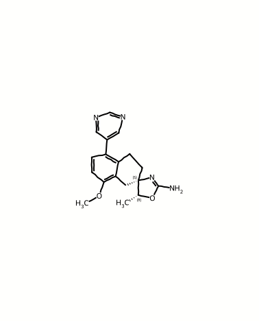 COc1ccc(-c2cncnc2)c2c1C[C@]1(CC2)N=C(N)O[C@@H]1C